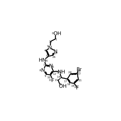 OCCn1cc(Nc2ncc(F)c(N[C@H](CO)c3cc(F)cc(Br)c3)n2)cn1